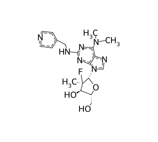 CN(C)c1nc(NCc2ccncc2)nc2c1ncn2[C@@H]1O[C@H](CO)[C@@H](O)[C@@]1(C)F